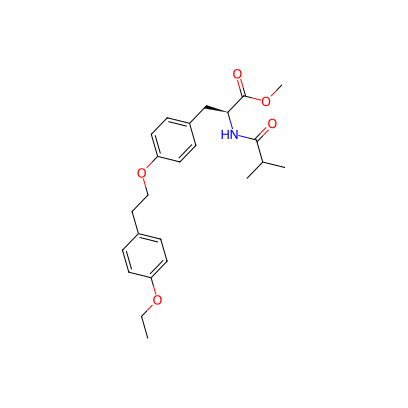 CCOc1ccc(CCOc2ccc(C[C@H](NC(=O)C(C)C)C(=O)OC)cc2)cc1